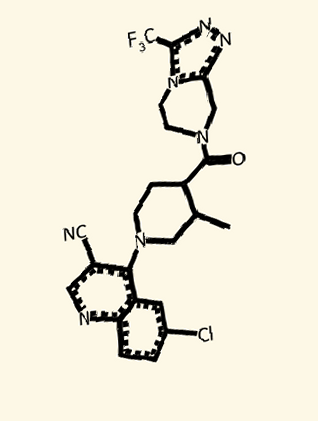 CC1CN(c2c(C#N)cnc3ccc(Cl)cc23)CCC1C(=O)N1CCn2c(nnc2C(F)(F)F)C1